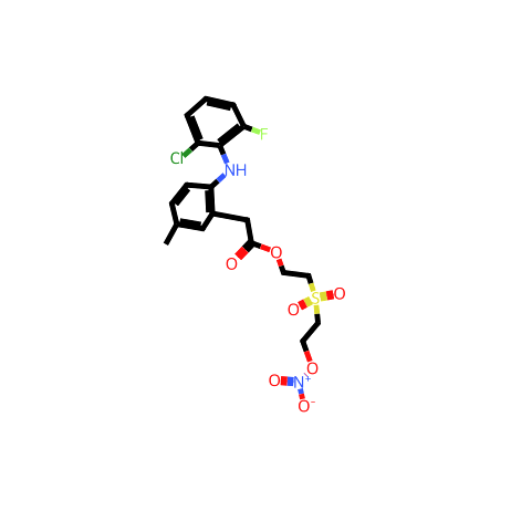 Cc1ccc(Nc2c(F)cccc2Cl)c(CC(=O)OCCS(=O)(=O)CCO[N+](=O)[O-])c1